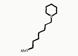 CSCCCCCCCN1CCCCC1